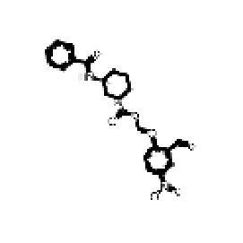 O=Cc1cc([N+](=O)[O-])ccc1OCOC(=O)[C@H]1CCC[C@H](NC(=O)c2ccccc2)C1